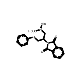 CC(C)(C)N(CC(COc1ccccc1)N1C(=O)c2ccccc2C1=O)C(=O)O